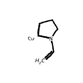 C=CN1CCCC1.[Cu]